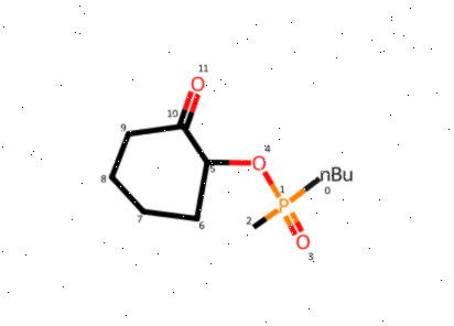 CCCCP(C)(=O)OC1CCCCC1=O